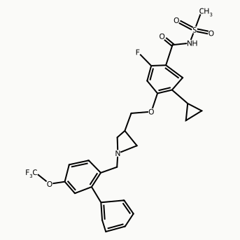 CS(=O)(=O)NC(=O)c1cc(C2CC2)c(OCC2CN(Cc3ccc(OC(F)(F)F)cc3-c3ccccc3)C2)cc1F